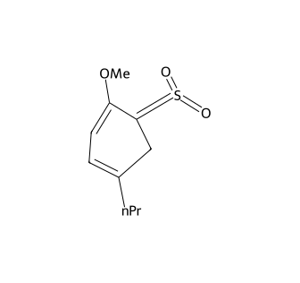 CCCC1=CC=C(OC)C(=S(=O)=O)C1